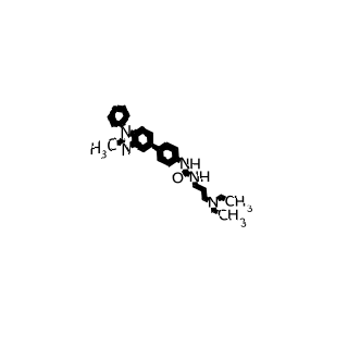 CCN(CC)CCCNC(=O)Nc1ccc(-c2ccc3c(c2)nc(C)n3-c2ccccc2)cc1